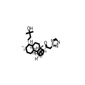 C[C@H]1CC[C@@H]2[C@H](CC[C@@]3(C)[C@H]2[C@@H]2C4[C@@H]2[C@]43C(=O)Cn2ncnn2)[C@H]1CCC(C)(C)O